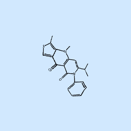 Cc1scc2c(=O)c3c(=O)n(-c4ccccc4)c(C(C)C)cc3n(C)c12